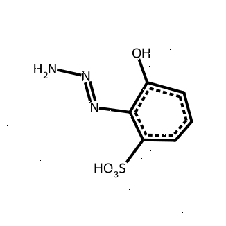 NN=Nc1c(O)cccc1S(=O)(=O)O